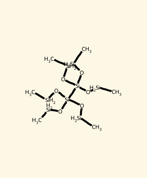 C[SiH2]O[Si](O[SiH2]C)(O[SiH2]C)[Si](O[SiH2]C)(O[SiH2]C)O[SiH2]C